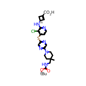 CC1(CNC(=O)OC(C)(C)C)CCN(c2cnc(Sc3ccnc(N[C@@H]4C=C(C(=O)O)C4)c3Cl)cn2)CC1